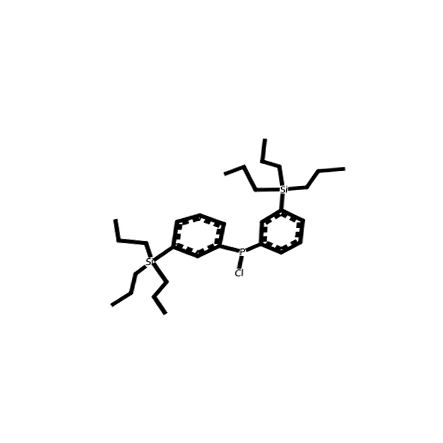 CCC[Si](CCC)(CCC)c1cccc(P(Cl)c2cccc([Si](CCC)(CCC)CCC)c2)c1